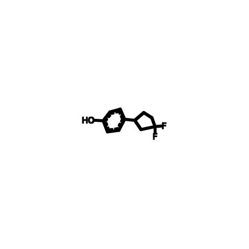 Oc1ccc(C2CCC(F)(F)C2)cc1